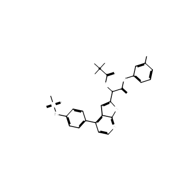 CS(=O)(=O)Nc1ccc(-c2ccnc3[nH]c(C(OC(=O)C(F)(F)F)C(=O)Nc4cccc(Cl)c4)cc23)cc1